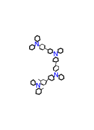 Cc1ccccc1N(C1=CC=C(c2ccc(N(C3=CCC(c4ccc(N(c5ccccc5)c5ccc(C6=CCC(N(c7ccccc7)c7ccccc7)C=C6)cc5)cc4)=C=C3)c3ccccc3)cc2)CC1C)c1ccccc1